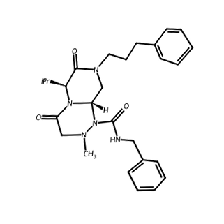 CC(C)[C@H]1C(=O)N(CCCc2ccccc2)C[C@H]2N1C(=O)CN(C)N2C(=O)NCc1ccccc1